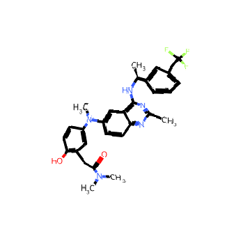 Cc1nc(N[C@@H](C)c2cccc(C(F)(F)F)c2)c2cc(N(C)c3ccc(O)c(CC(=O)N(C)C)c3)ccc2n1